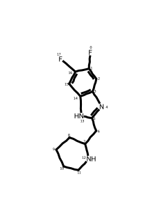 Fc1cc2nc(CC3CCCCN3)[nH]c2cc1F